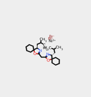 CC(C)C[C@H]1N=C(CC2=N[C@H](CC(C)C)C3(CCCCC3)O2)OC12CCCCC2.[Br-].[Br-].[Ni+2]